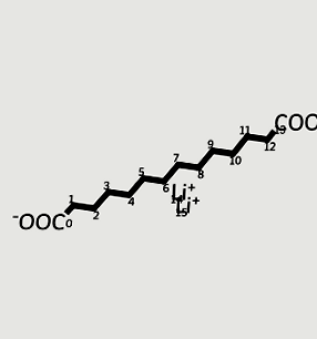 O=C([O-])CCCCCCCCCCCCC(=O)[O-].[Li+].[Li+]